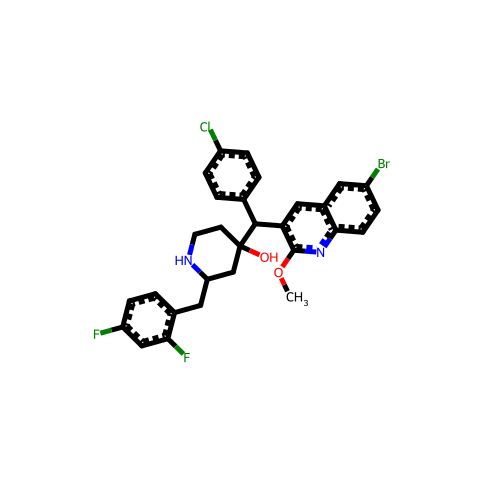 COc1nc2ccc(Br)cc2cc1C(c1ccc(Cl)cc1)C1(O)CCNC(Cc2ccc(F)cc2F)C1